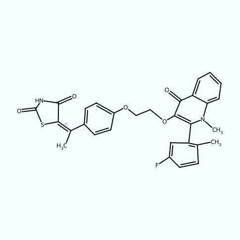 C/C(=C1\SC(=O)NC1=O)c1ccc(OCCOc2c(-c3cc(F)ccc3C)n(C)c3ccccc3c2=O)cc1